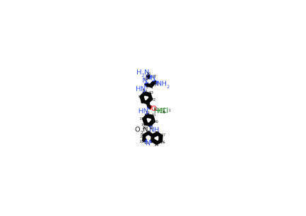 Cl.Cl.Nc1cc(Nc2ccc(C(=O)Nc3ccc(NC4([N+](=O)[O-])CC=Nc5ccccc54)cc3)cc2)nc(N)n1